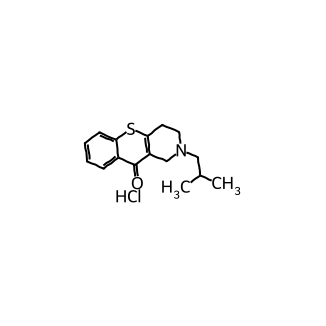 CC(C)CN1CCc2sc3ccccc3c(=O)c2C1.Cl